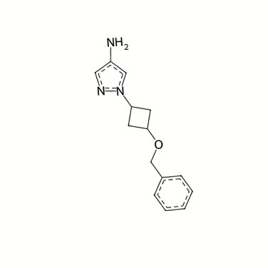 Nc1cnn(C2CC(OCc3ccccc3)C2)c1